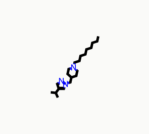 CCCCCCCCCN1CCC(Cn2cc(C(C)C)cn2)CC1